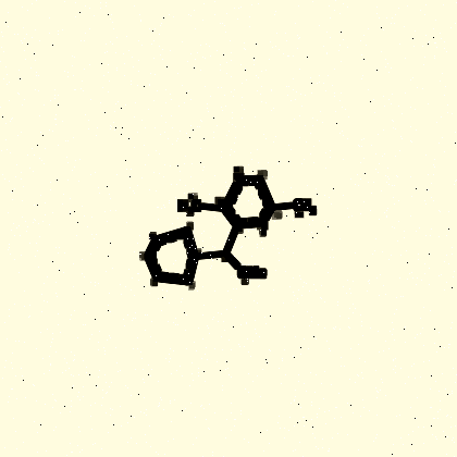 COC(c1ccccc1)c1nc(C)cnc1C